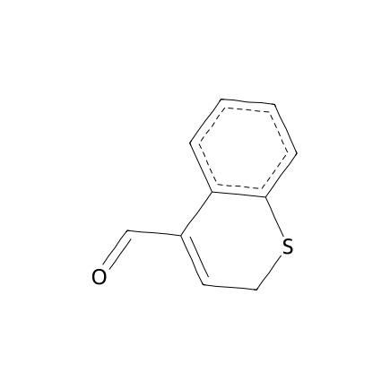 O=CC1=CCSc2ccccc21